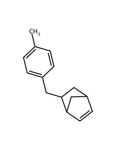 Cc1ccc(CC2CC3C=CC2C3)cc1